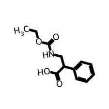 CCOC(=O)NCC(C(=O)O)c1ccccc1